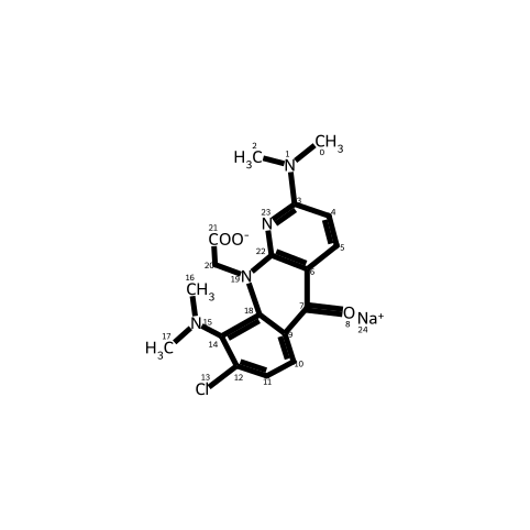 CN(C)c1ccc2c(=O)c3ccc(Cl)c(N(C)C)c3n(CC(=O)[O-])c2n1.[Na+]